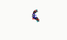 CCN(CC1CCN(Cc2ccc(OC(F)(F)F)cc2)CC1)C(=O)c1cc2cc(OC(F)(F)F)ccc2[nH]1